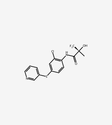 C[C@@](O)(C(=O)Nc1ccc(Sc2cccnc2)cc1Cl)C(F)(F)F